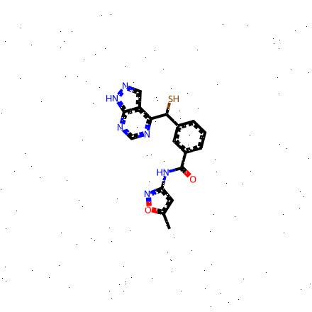 Cc1cc(NC(=O)c2cccc(C(S)c3ncnc4[nH]ncc34)c2)no1